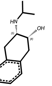 CC(C)N[C@H]1Cc2ccccc2C[C@H]1O